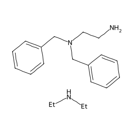 CCNCC.NCCN(Cc1ccccc1)Cc1ccccc1